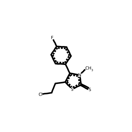 Cn1c(-c2ccc(F)cc2)c(CCCl)sc1=S